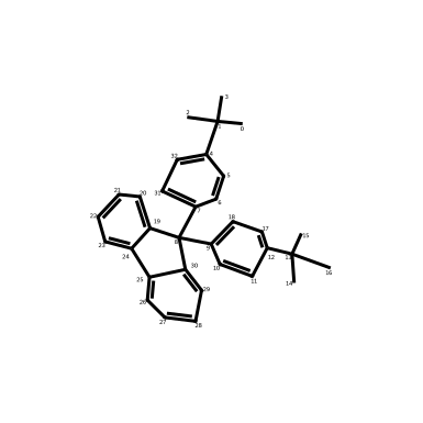 CC(C)(C)c1ccc(C2(c3ccc(C(C)(C)C)cc3)c3ccccc3-c3ccccc32)cc1